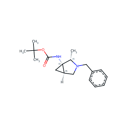 C[C@@H]1N(Cc2ccccc2)C[C@H]2C[C@]21NC(=O)OC(C)(C)C